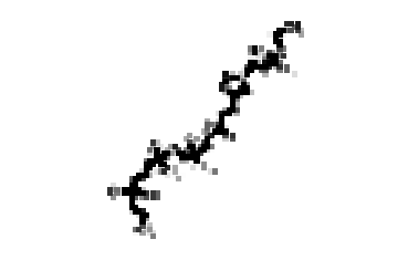 CCCC(C)(C)CCCC(C)(C)OCC(C)(C)CNC(=O)CCc1cn(CCC(C)(C)OCC)nn1